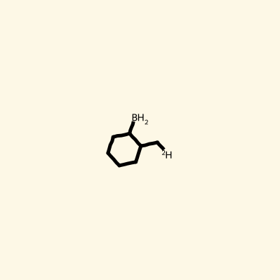 [2H]CC1CCCCC1B